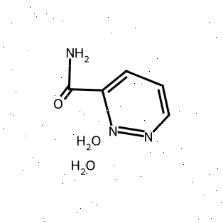 NC(=O)c1cccnn1.O.O